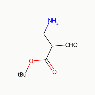 CC(C)(C)OC(=O)C(C=O)CN